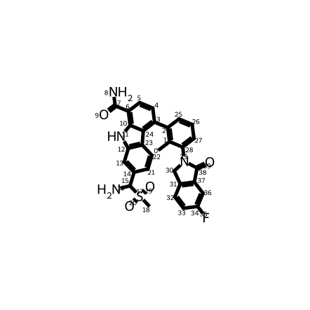 Cc1c(-c2ccc(C(N)=O)c3[nH]c4cc(C(N)S(C)(=O)=O)ccc4c23)cccc1N1Cc2ccc(F)cc2C1=O